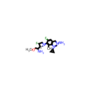 COC[C@H](N)[C@H]1CN(c2c(F)cc3c(c2C)N(C2CC2)CN(N)C3)C[C@H]1F